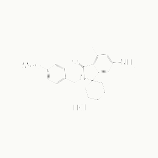 COc1ccc(CN2C(=O)c3c(C)cc(N)cc3C23CCCCC3)cc1.Cl